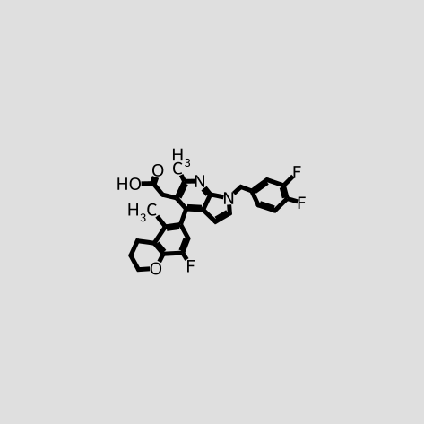 Cc1nc2c(ccn2Cc2ccc(F)c(F)c2)c(-c2cc(F)c3c(c2C)CCCO3)c1CC(=O)O